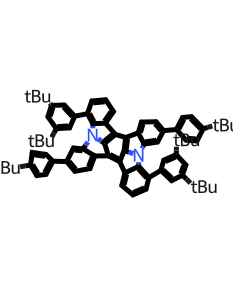 CC(C)(C)c1ccc(-c2ccc3c4c5c6cccc(-c7cc(C(C)(C)C)cc(C(C)(C)C)c7)c6n6c7cc(-c8ccc(C(C)(C)C)cc8)ccc7c(c7c8cccc(-c9cc(C(C)(C)C)cc(C(C)(C)C)c9)c8n(c3c2)c47)c56)cc1